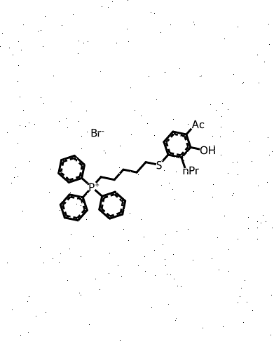 CCCc1c(SCCCCC[P+](c2ccccc2)(c2ccccc2)c2ccccc2)ccc(C(C)=O)c1O.[Br-]